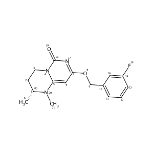 C[C@@H]1CCn2c(cc(OCc3cccc(F)c3)nc2=O)N1C